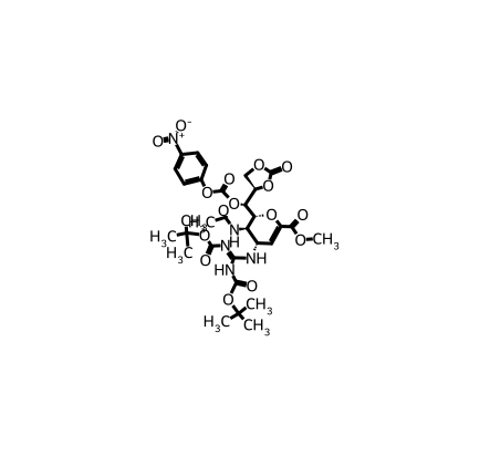 COC(=O)C1=C[C@H](NC(=NC(=O)OC(C)(C)C)NC(=O)OC(C)(C)C)[C@@H](NC(C)=O)[C@H]([C@H](OC(=O)Oc2ccc([N+](=O)[O-])cc2)[C@H]2COC(=O)O2)O1